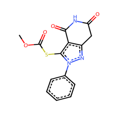 COC(=O)Sc1c2c(nn1-c1ccccc1)CC(=O)NC2=O